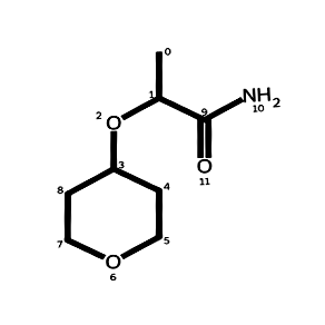 CC(OC1CCOCC1)C(N)=O